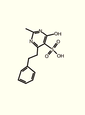 Cc1nc(O)c(S(=O)(=O)O)c(CCc2ccccc2)n1